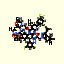 Cc1cc(C2(F)CCC(F)(F)CC2)nc2nc([C@H](Cc3cc(F)cc(F)c3)NC(=O)Cn3nc(C4CC4)c4c3C[C@@H]3C[C@H]43)n(-c3ccc(Cl)c4c(NS(C)(=O)=O)nn(CCN5C[C@@H](C)O[C@@H](C)C5)c34)c(=O)c12